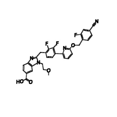 COCCn1c(Cc2ccc(-c3cccc(OCc4ccc(C#N)cc4F)n3)c(F)c2F)nc2ccc(C(=O)O)cc21